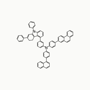 C1=C(c2ccccc2)CCc2c1n(-c1ccccc1)c1cccc(-c3cccc(N(c4ccc(-c5ccc6c(ccc7ccccc76)c5)cc4)c4ccc(-c5cccc6ccccc56)cc4)c3)c21